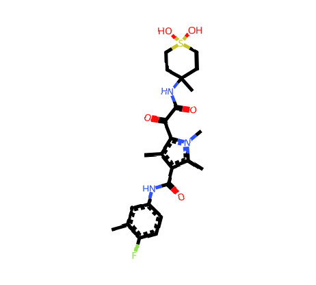 Cc1cc(NC(=O)c2c(C)c(C(=O)C(=O)NC3(C)CCS(O)(O)CC3)n(C)c2C)ccc1F